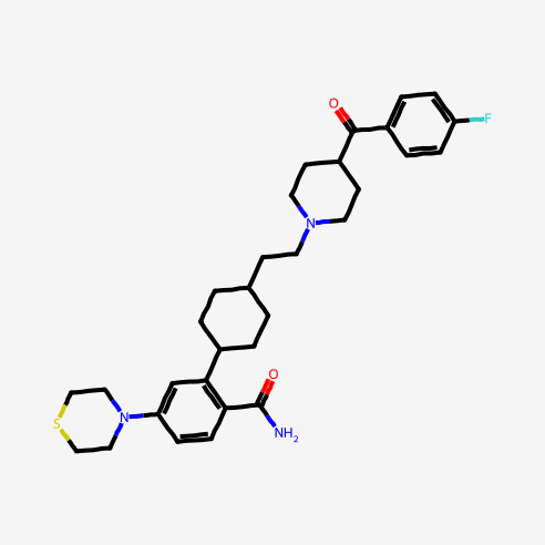 NC(=O)c1ccc(N2CCSCC2)cc1C1CCC(CCN2CCC(C(=O)c3ccc(F)cc3)CC2)CC1